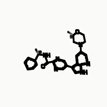 C[C@H](NC(=O)c1ncc(-c2c[nH]c3ncc(N4CCO[C@@H](C)C4)cc23)cn1)c1ccccc1